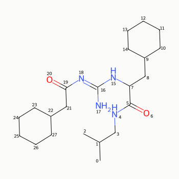 CC(C)CNC(=O)C(CC1CCCCC1)NC(N)=NC(=O)CC1CCCCC1